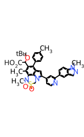 Cc1ccc(-c2c(C(OC(C)(C)C)C(=O)O)c(C)c3c4c2cc(-c2ccnc(-c5ccc6c(cnn6C)c5)c2)n4CS(=O)(=O)N3C)cc1